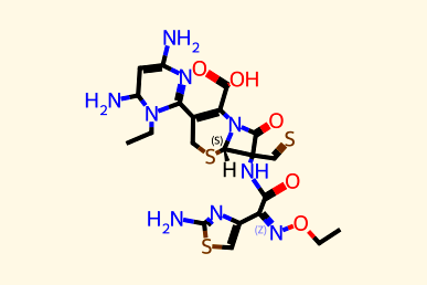 CCO/N=C(\C(=O)NC1(C=S)C(=O)N2C(C(=O)O)=C(C3=NC(N)=CC(N)N3CC)CS[C@H]21)c1csc(N)n1